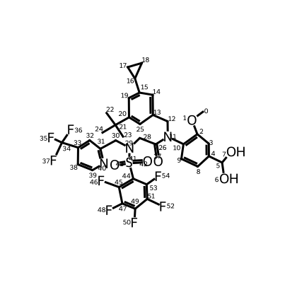 COc1cc(C(O)O)ccc1N(Cc1cc(C2CC2)cc(C(C)(C)C)c1)C(=O)CN(Cc1cc(C(F)(F)F)ccn1)S(=O)(=O)c1c(F)c(F)c(F)c(F)c1F